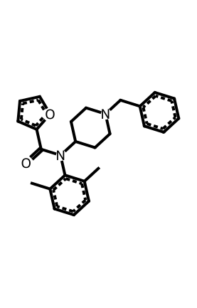 Cc1cccc(C)c1N(C(=O)c1ccco1)C1CCN(Cc2ccccc2)CC1